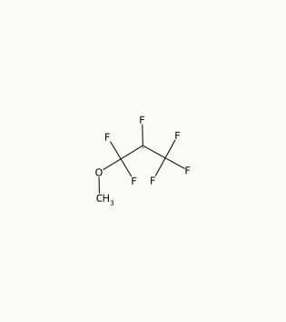 COC(F)(F)[C](F)C(F)(F)F